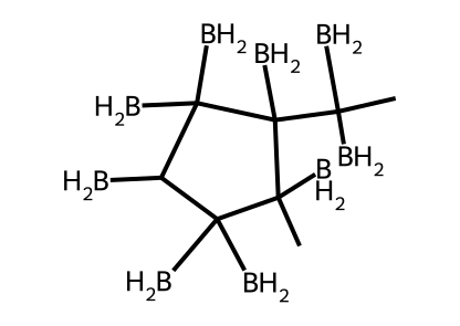 BC1C(B)(B)C(B)(C)C(B)(C(B)(B)C)C1(B)B